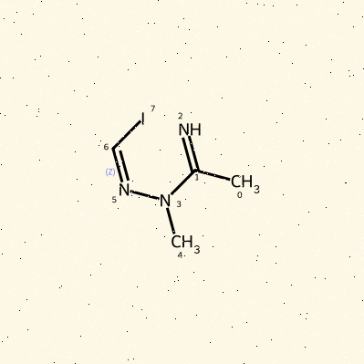 CC(=N)N(C)/N=C\I